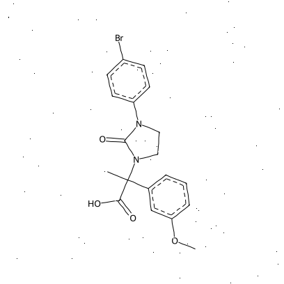 COc1cccc(C(C)(C(=O)O)N2CCN(c3ccc(Br)cc3)C2=O)c1